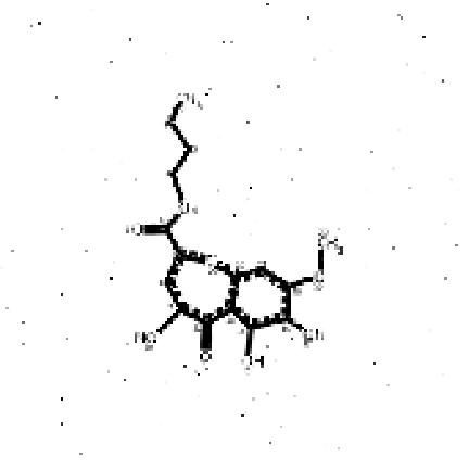 CCCCOC(=O)c1cc(O)c(=O)c2c(O)c(O)c(OC)cc2c1